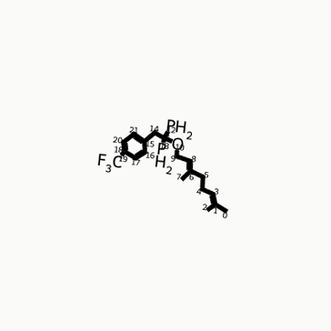 CC(C)=CCC/C(C)=C/COC(P)(P)Cc1ccc(C(F)(F)F)cc1